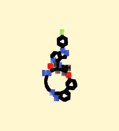 O=C1NCCCCn2cc3c(cccc3n2)-c2cccc(c2)O[C@H]2C[C@@H]1N(c1nccc3c1cnn3-c1ccc(F)cc1)C2